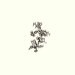 C[C@H](NC(=O)CCNC(=O)[C@@H](N)CCN(C(=O)CO)[C@@H](c1nn(-c2cc(F)ccc2F)cc1Cc1ccccc1)C(C)(C)C)C(=O)N[C@@H](CCCNC(N)=O)C(=O)Nc1ccc(N2C(=O)C=CC2=O)cc1